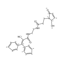 N#CC(C(=O)NCCNC(=O)CCN1C(=O)C=CC1O)=C(c1ccccc1)c1ccccc1